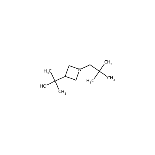 CC(C)(C)CN1CC(C(C)(C)O)C1